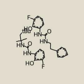 CC(C)(C)CC(C)(C)NC(=O)Nc1cccc(F)c1O.O=C(NCCc1ccccc1)Nc1cccc(F)c1O